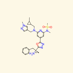 CC1CC1CN(Cc1cnn(C)c1)c1cc(-c2nnc([C@](C)(N)Cc3ccccc3)o2)cc(N(C)S(C)(=O)=O)n1